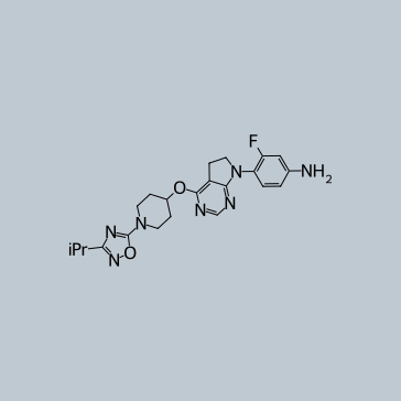 CC(C)c1noc(N2CCC(Oc3ncnc4c3CCN4c3ccc(N)cc3F)CC2)n1